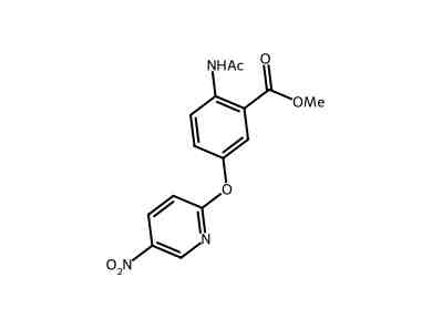 COC(=O)c1cc(Oc2ccc([N+](=O)[O-])cn2)ccc1NC(C)=O